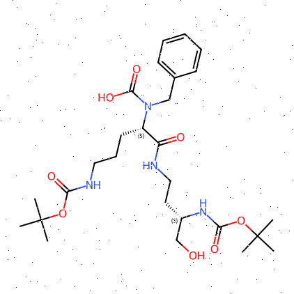 CC(C)(C)OC(=O)NCCC[C@@H](C(=O)NCC[C@@H](CO)NC(=O)OC(C)(C)C)N(Cc1ccccc1)C(=O)O